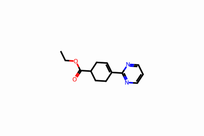 CCOC(=O)C1CC=C(c2ncccn2)CC1